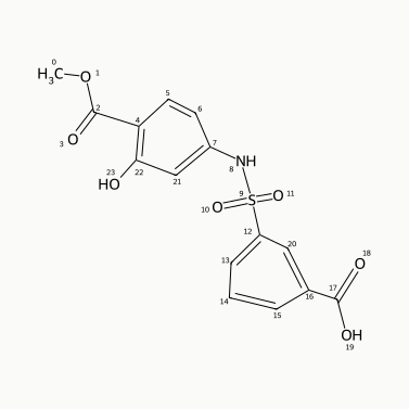 COC(=O)c1ccc(NS(=O)(=O)c2cccc(C(=O)O)c2)cc1O